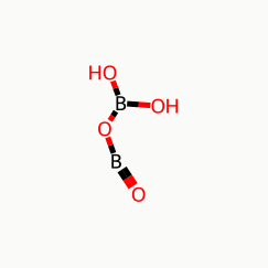 O=BOB(O)O